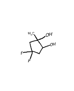 CC1(O)CC(F)(F)CC1O